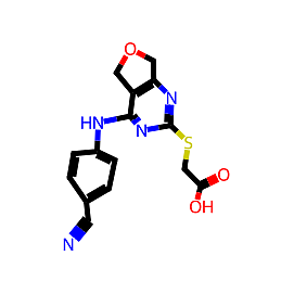 N#Cc1ccc(Nc2nc(SCC(=O)O)nc3c2COC3)cc1